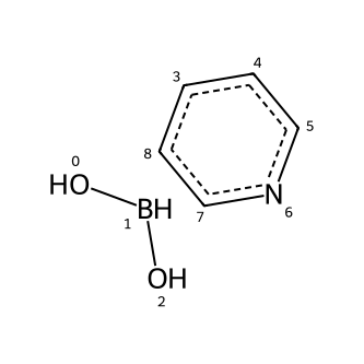 OBO.c1ccncc1